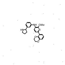 COc1nc(-c2cccc3c2OCCO3)ccc1Nc1cccc(C2CCCN2)c1